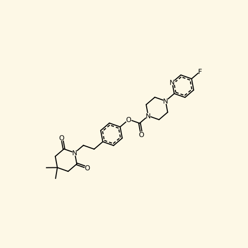 CC1(C)CC(=O)N(CCc2ccc(OC(=O)N3CCN(c4ccc(F)cn4)CC3)cc2)C(=O)C1